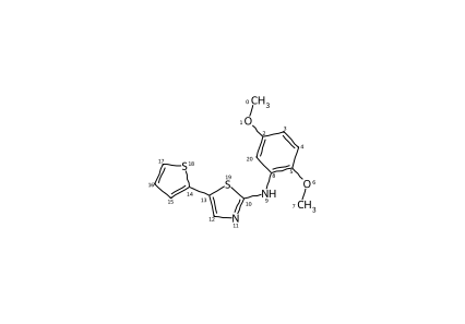 COc1ccc(OC)c(Nc2ncc(-c3cccs3)s2)c1